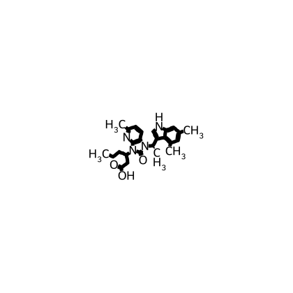 CCCC(CC(=O)O)n1c(=O)n([C@@H](C)c2c[nH]c3cc(C)cc(C)c23)c2ccc(C)nc21